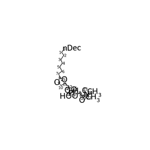 CCCCCCCCCCCCCCCCCC1OCC(COP(=O)(O)OCC([O-])[N+](C)(C)C)O1